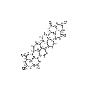 O=c1cc2c3ccc4c5ccc6c7c(ccc(c8ccc(c3c48)c3cc(=O)c4cc(Cl)cc1c4n23)c57)c1cc(=O)c2cc(Cl)cc3c(=O)cc6n1c32